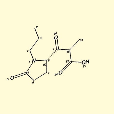 CCCN1C(=O)CC[C@H]1C(=O)C(C)C(=O)O